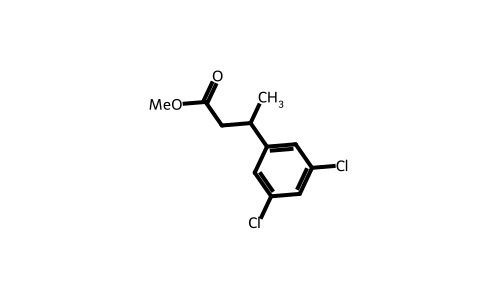 COC(=O)CC(C)c1cc(Cl)cc(Cl)c1